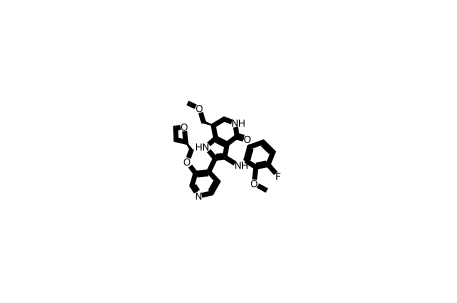 COC[C@H]1CNC(=O)c2c1[nH]c(-c1ccncc1OC[C@H]1CCO1)c2Nc1cccc(F)c1OC